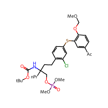 CCCC(CCc1ccc(Sc2cc(C(C)=O)ccc2OCOC)cc1Cl)(COP(=O)(OC)OC)NC(=O)OC(C)(C)C